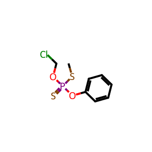 CSP(=S)(OCCl)Oc1ccccc1